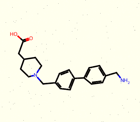 NCc1ccc(-c2ccc(CN3CCC(CC(=O)O)CC3)cc2)cc1